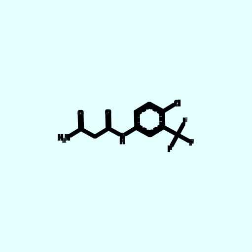 NC(=O)CC(=O)Nc1ccc(Cl)c(C(F)(F)F)c1